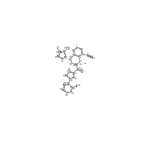 C[C@H]1c2c(C#N)cccc2[C@@H](c2cnn(C)c2Cl)CN1C(=O)c1cc(-c2nnccc2F)no1